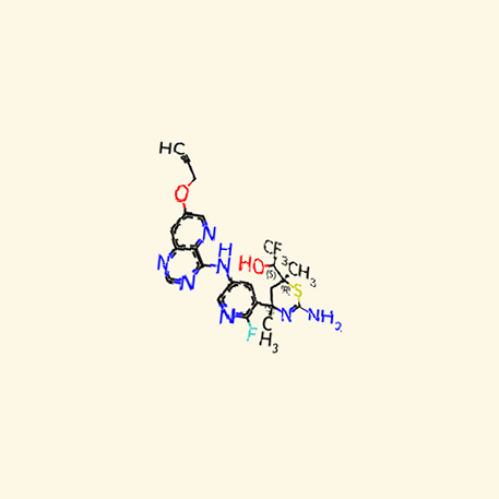 C#CCOc1cnc2c(Nc3cnc(F)c([C@]4(C)C[C@](C)([C@@H](O)C(F)(F)F)SC(N)=N4)c3)ncnc2c1